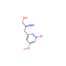 COc1cc(CC(=N)CO)c[n+]([O-])c1